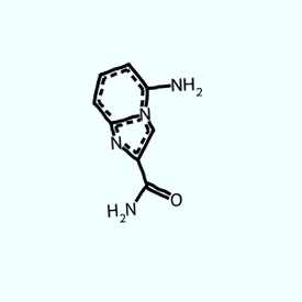 NC(=O)c1cn2c(N)cccc2n1